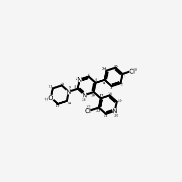 Clc1ccc(-c2cnc(N3CCOCC3)nc2-c2ccncc2Cl)cc1